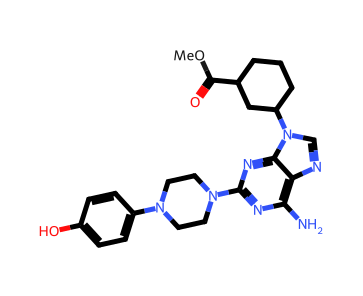 COC(=O)C1CCCC(n2cnc3c(N)nc(N4CCN(c5ccc(O)cc5)CC4)nc32)C1